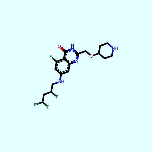 O=c1[nH]c(CSC2CCNCC2)nc2cc(NCC(F)CC(F)F)cc(F)c12